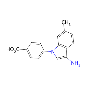 Cc1ccc2c(N)cn(-c3ccc(C(=O)O)cc3)c2c1